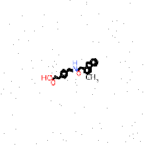 Cc1cc(CC(=O)NCCc2ccc(CCC(=O)O)cc2)c2c(c1)-c1ccccc1C2